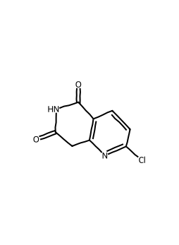 O=C1Cc2nc(Cl)ccc2C(=O)N1